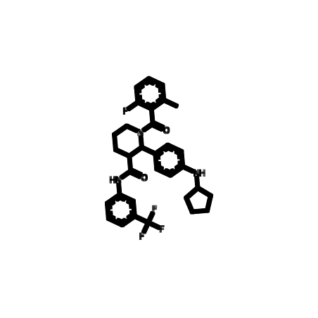 Cc1cccc(F)c1C(=O)N1CCCC(C(=O)Nc2cccc(C(F)(F)F)c2)C1c1ccc(NC2CCCC2)cc1